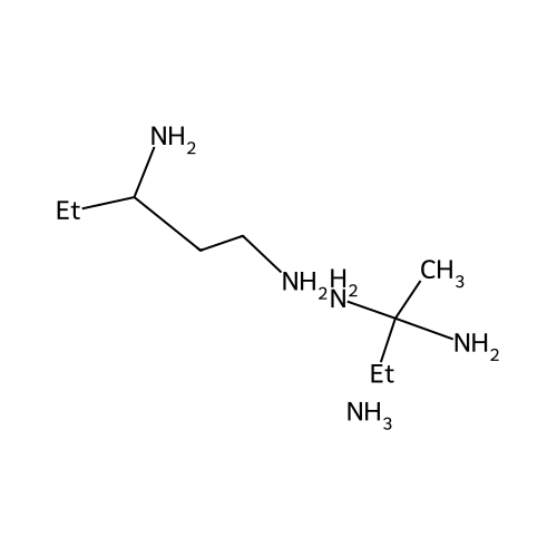 CCC(C)(N)N.CCC(N)CCN.N